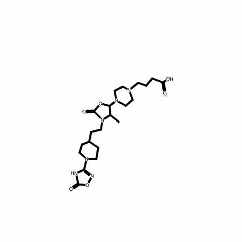 CC1C(N2CCN(CCCC(=O)O)CC2)OC(=O)N1CCC1CCN(c2noc(=O)[nH]2)CC1